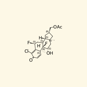 CC(=O)OC[C@@H]1C[C@H]2[C@@H]3C[C@H](F)C4=C(Cl)C(=O)C=C[C@]4(C)[C@@]3(F)[C@@H](O)C[C@]2(C)C1